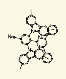 Cc1ccc2c(c1)c1cc(C)ccc1n2-c1cc(C#N)cc(-n2c3ccc(C)cc3c3cc(C)ccc32)c1-c1nc(-c2ccccc2)cc(-c2ccccc2)n1